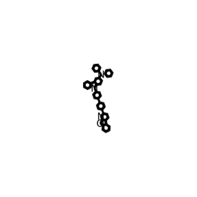 c1ccc(N(c2ccccc2)c2ccc3c(c2)c2ccccc2n3-c2ccc(-c3ccc(-c4ccc5c(n4)oc4ccccc45)cc3)cc2)cc1